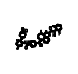 C=C(SC1=C(C)CCN(C(=O)c2ccc(C(=O)Nc3cc(C)cnc3N3CCS(=O)(=O)CC3)cc2)c2ccccc21)C(=O)Nc1c(C)cccc1F